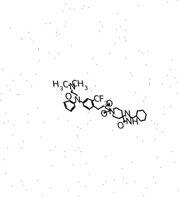 CN(C)C(=O)CN(c1ccccc1)c1ccc(CCS(=O)(=O)N2CCC3(CC2)N=C(C2CCCCC2)NC3=O)c(C(F)(F)F)c1